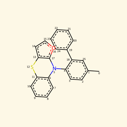 Cc1ccc(N2c3ccccc3Sc3ccoc32)c(-c2ccccc2)c1